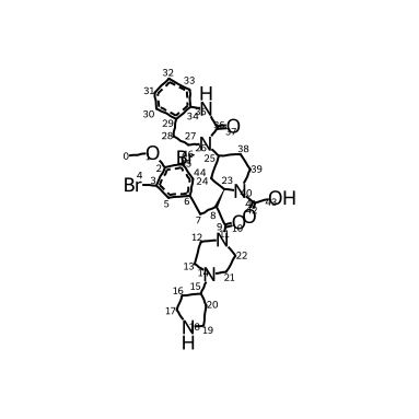 COc1c(Br)cc(CC(C(=O)N2CCN(C3CCNCC3)CC2)[C@H]2CC(N3CCc4ccccc4NC3=O)CCN2C(=O)O)cc1Br